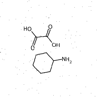 NC1CCCCC1.O=C(O)C(=O)O